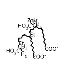 C=C(C)C(=O)O.C=C(C)C(=O)O.CC/C=C\C/C=C\C/C=C\CCCCCCCC(=O)[O-].CC/C=C\C/C=C\C/C=C\CCCCCCCC(=O)[O-].[Zn+2]